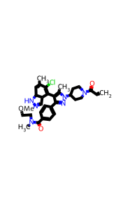 C=CC(=O)N1CCC(n2nc(-c3ccc(C(=O)N(C)CCOC)cc3)c(C3=C(Cl)C(C)=CC4NN=CC34)c2C)CC1